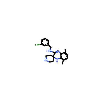 Cc1ccc(C)c2c1N=C(NCc1cccc(Cl)c1)C1(CCNCC1)N2